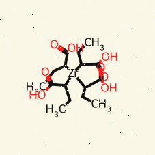 CC[CH](C(=O)O)[Zr]([CH](CC)C(=O)O)([CH](CC)C(=O)O)[CH](CC)C(=O)O